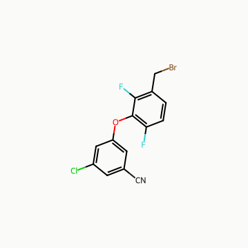 N#Cc1cc(Cl)cc(Oc2c(F)ccc(CBr)c2F)c1